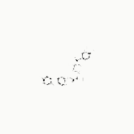 C[C@H](C(=O)Nc1ccc(Oc2ccc(F)cc2)cn1)N1CCN(C(=O)c2ccc(=O)[nH]c2)[C@H](C)C1